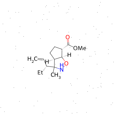 C=C[C@@H](CC)C1(C)NO[C@@H]2[C@@H](C(=O)OC)CC[C@@H]21